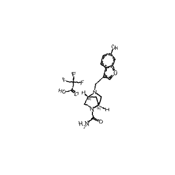 NC(=O)N1C[C@H]2C[C@@H]1CN2Cc1coc2cc(O)ccc12.O=C(O)C(F)(F)F